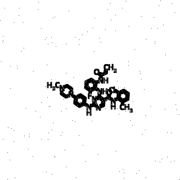 C=CC(=O)Nc1cccc(F)c1Nc1nc(Nc2ccc(N3CCN(C)CC3)cc2)ncc1C(=O)Nc1c(C)cccc1Cl